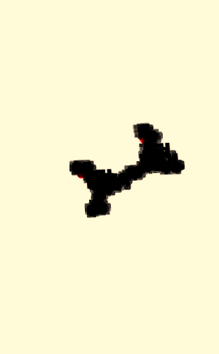 CC1(C)c2cc(-c3ccccc3)ccc2-c2ccc(N(c3ccc(-c4ccc5cc(-c6ccc(-c7ccc8c(c7)C(C)(C)c7cc(N(c9ccc(-c%10cc%11ccccc%11c%11ccccc%10%11)cc9)c9ccc%10c(c9)C(C)(C)c9cc(-c%11cccc%12c%11oc%11ccccc%11%12)ccc9-%10)ccc7-8)cc6)ccc5c4)cc3)c3ccc4c(c3)C(C)(C)c3cc(-c5cccc6c5oc5ccccc56)ccc3-4)cc21